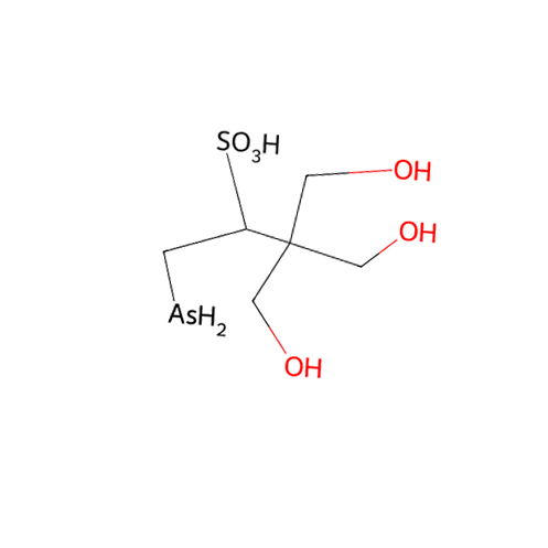 O=S(=O)(O)C(C[AsH2])C(CO)(CO)CO